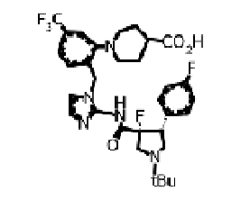 CC(C)(C)N1C[C@@H](c2ccc(F)cc2)[C@](F)(C(=O)Nc2nccn2Cc2ccc(C(F)(F)F)cc2N2CCC(C(=O)O)CC2)C1